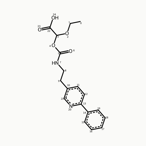 CCOC(OC(=O)NCCc1ccc(-c2ccccc2)nc1)C(=O)O